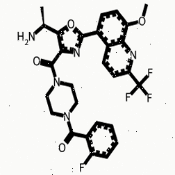 COc1ccc(-c2nc(C(=O)N3CCN(C(=O)c4ccccc4F)CC3)c([C@H](C)N)o2)c2ccc(C(F)(F)F)nc12